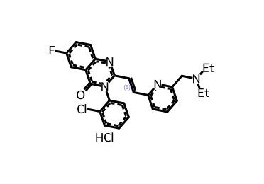 CCN(CC)Cc1cccc(/C=C/c2nc3ccc(F)cc3c(=O)n2-c2ccccc2Cl)n1.Cl